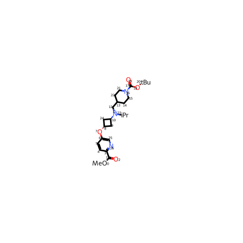 COC(=O)c1ccc(O[C@H]2C[C@H](N(CC3CCN(C(=O)OC(C)(C)C)CC3)C(C)C)C2)cn1